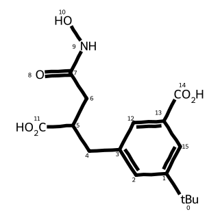 CC(C)(C)c1cc(CC(CC(=O)NO)C(=O)O)cc(C(=O)O)c1